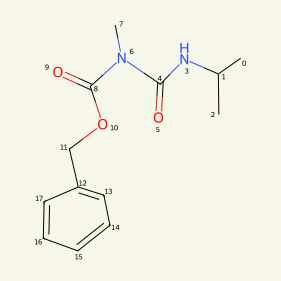 CC(C)NC(=O)N(C)C(=O)OCc1ccccc1